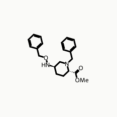 COC(=O)[C@@H]1CC[C@@H](NOCc2ccccc2)CN1Cc1ccccc1